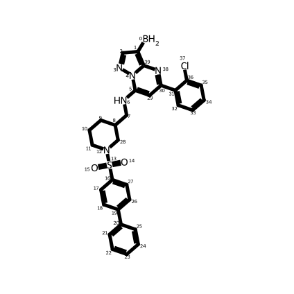 Bc1cnn2c(NCC3CCCN(S(=O)(=O)c4ccc(-c5ccccc5)cc4)C3)cc(-c3ccccc3Cl)nc12